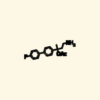 CC(=O)OC(C)(CCN)c1ccc(-c2ccc(F)cc2)cc1